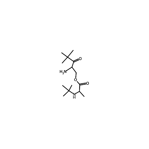 CC(NC(C)(C)C)C(=O)OCC(N)C(=O)C(C)(C)C